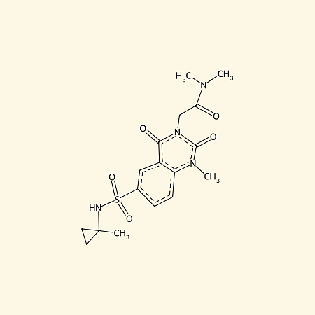 CN(C)C(=O)Cn1c(=O)c2cc(S(=O)(=O)NC3(C)CC3)ccc2n(C)c1=O